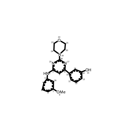 COc1cccc(Nc2cc(-c3cccc(O)c3)nc(N3CCOCC3)n2)c1